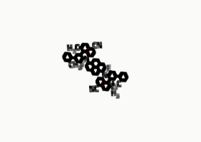 Cc1ccccc1-c1cc(F)c(N(c2ccc(C#N)cc2)c2ccc3ccc4c(N(c5ccc(C#N)cc5)c5c(F)cc(-c6ccccc6C)cc5-c5ccccc5C)ccc5ccc2c3c54)c(-c2ccccc2C)c1